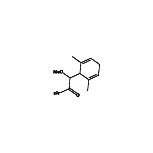 CCCC(=O)C(OC)C1C(C)=CCC=C1C